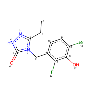 CCc1n[nH]c(=O)n1Cc1ccc(Br)c(O)c1F